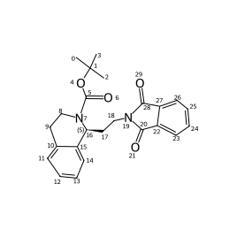 CC(C)(C)OC(=O)N1CCc2ccccc2[C@@H]1CCN1C(=O)c2ccccc2C1=O